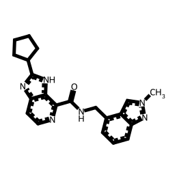 Cn1cc2c(CNC(=O)c3nccc4nc(C5CCCC5)[nH]c34)cccc2n1